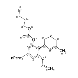 C=COc1cc(CCCCC)cc(OC(=O)OCCCBr)c1[C@@H]1C=C(C)CCC1